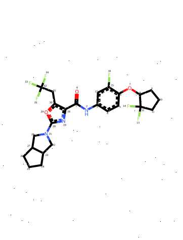 O=C(Nc1ccc(OC2CCCC2(F)F)c(F)c1)c1nc(N2CC3CCCC3C2)oc1CC(F)(F)F